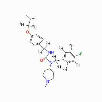 [2H]c1c([2H])c(C([2H])([2H])N(C(=O)NC([2H])([2H])c2ccc(OC([2H])([2H])C(C)C)cc2)C2CCN(C)CC2)c([2H])c([2H])c1F